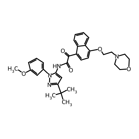 COc1cccc(-n2nc(C(C)(C)C)cc2NC(=O)C(=O)c2ccc(OCCN3CCOCC3)c3ccccc23)c1